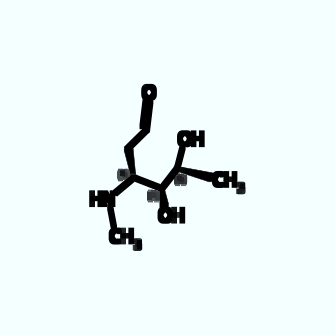 CN[C@@H](CC=O)[C@H](O)[C@H](C)O